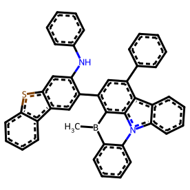 CB1c2ccccc2-n2c3ccccc3c3c(-c4ccccc4)cc(-c4cc5c(cc4Nc4ccccc4)sc4ccccc45)c1c32